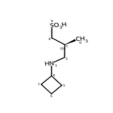 C[C@@H](CNC1CCC1)CS(=O)(=O)O